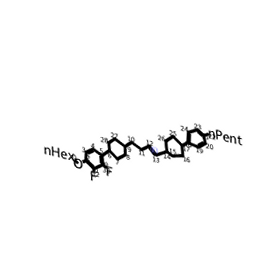 CCCCCCOc1ccc(C2CCC(CC/C=C/C3CCC(c4ccc(CCCCC)cc4)CC3)CC2)c(F)c1F